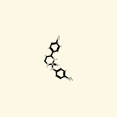 O=[N+]([O-])c1ccc(OP2(=O)OCCC(c3ccc(Cl)cc3)O2)cc1